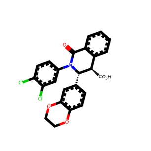 O=C(O)[C@@H]1c2ccccc2C(=O)N(c2ccc(Cl)c(Cl)c2)[C@H]1c1ccc2c(c1)OCCO2